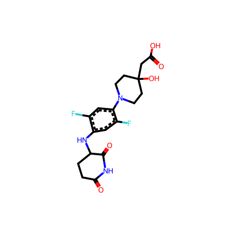 O=C(O)CC1(O)CCN(c2cc(F)c(NC3CCC(=O)NC3=O)cc2F)CC1